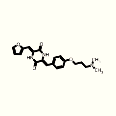 CN(C)CCCOc1ccc(C=c2[nH]c(=O)c(=Cc3ccco3)[nH]c2=O)cc1